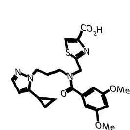 COc1cc(OC)cc(C(=O)N(CCCn2nccc2C2CC2)Cc2nc(C(=O)O)cs2)c1